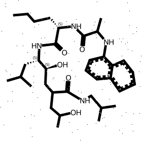 CCCC[C@H](NC(=O)C(C)Nc1cccc2ccccc12)C(=O)N[C@@H](CC(C)C)[C@@H](O)CC(CC(C)O)C(=O)NCC(C)C